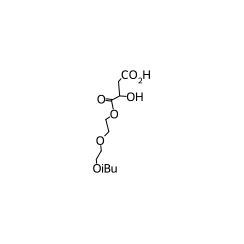 CC(C)COCCOCCOC(=O)C(O)CC(=O)O